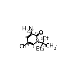 [CH2]C(CC)(CC)n1cc(Cl)cc(N)c1=O